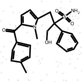 Cc1ccc(C(=O)c2ccc(CC(CO)(c3ccccc3)S(N)(=O)=O)n2C)cc1